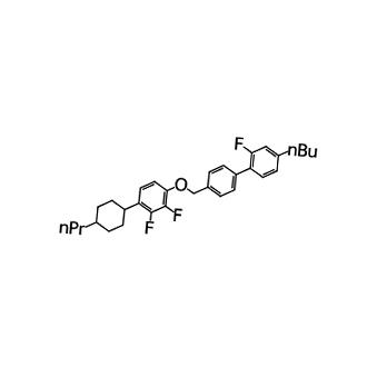 CCCCc1ccc(-c2ccc(COc3ccc(C4CCC(CCC)CC4)c(F)c3F)cc2)c(F)c1